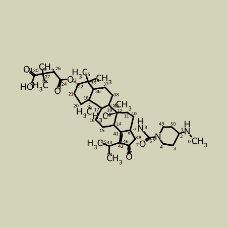 CNC1CCN(C(=O)N[C@@]23CC[C@]4(C)C(CCC5[C@@]6(C)CC[C@H](OC(=O)CC(C)(C)C(=O)O)C(C)(C)C6CC[C@]54C)C2=C(C(C)C)C(=O)C3)CC1